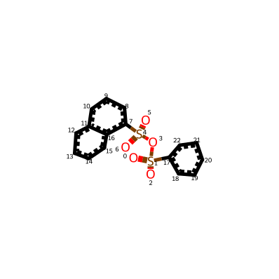 O=S(=O)(OS(=O)(=O)c1cccc2ccccc12)c1ccccc1